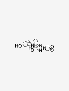 O=C(N[C@H]1C2CC3CC1C[C@@](O)(C3)C2)c1cnc(N2CCS(=O)(=O)CC2)nc1C1CCCC1